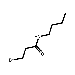 CCCCNC(=O)CCBr